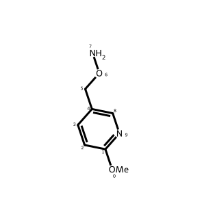 COc1ccc(CON)cn1